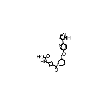 O=C(O)NC1CC(C(=O)N2CCC[C@@H](COc3ccc(-c4ccn[nH]4)nc3)C2)C1